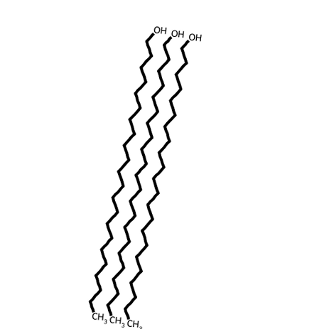 CCCCCCCCCCCCCCCCCCCCCCO.CCCCCCCCCCCCCCCCCCCCCCO.CCCCCCCCCCCCCCCCCCCCCCO